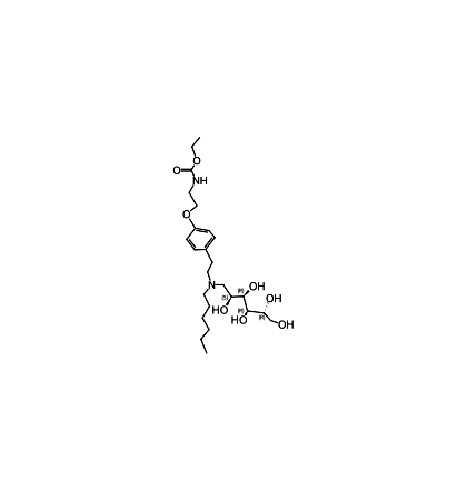 CCCCCCN(CCc1ccc(OCCNC(=O)OCC)cc1)C[C@H](O)[C@@H](O)[C@H](O)[C@H](O)CO